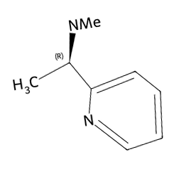 CN[C@H](C)c1ccccn1